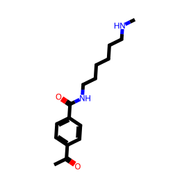 CNCCCCCCNC(=O)c1ccc(C(C)=O)cc1